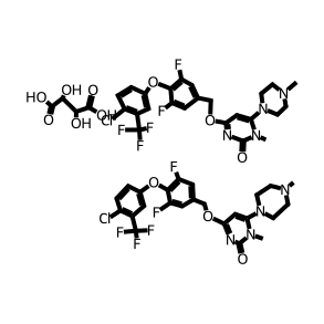 CN1CCN(c2cc(OCc3cc(F)c(Oc4ccc(Cl)c(C(F)(F)F)c4)c(F)c3)nc(=O)n2C)CC1.CN1CCN(c2cc(OCc3cc(F)c(Oc4ccc(Cl)c(C(F)(F)F)c4)c(F)c3)nc(=O)n2C)CC1.O=C(O)C(O)C(O)C(=O)O